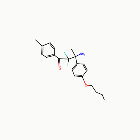 CCCCOc1ccc(C(C)(N)C(F)(F)C(=O)c2ccc(C)cc2)cc1